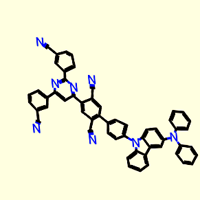 N#Cc1cccc(-c2cc(-c3cc(C#N)c(-c4ccc(-n5c6ccccc6c6cc(N(c7ccccc7)c7ccccc7)ccc65)cc4)cc3C#N)nc(-c3cccc(C#N)c3)n2)c1